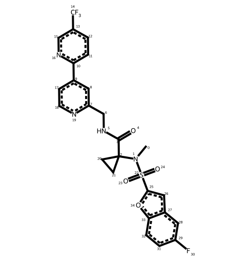 CN(C1(C(=O)NCc2cc(-c3ccc(C(F)(F)F)cn3)ccn2)CC1)S(=O)(=O)c1cc2cc(F)ccc2o1